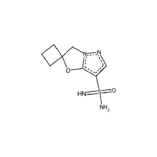 N=S(N)(=O)c1cnn2c1OC1(CCC1)C2